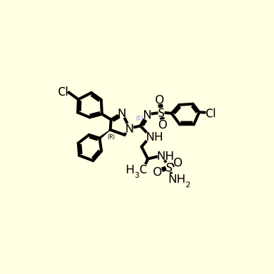 CC(CN/C(=N\S(=O)(=O)c1ccc(Cl)cc1)N1C[C@@H](c2ccccc2)C(c2ccc(Cl)cc2)=N1)NS(N)(=O)=O